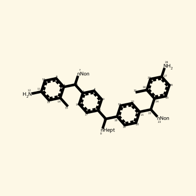 CCCC[CH]CCC(c1ccc(C(CCCCCCCCC)c2ccc(N)cc2C)cc1)c1ccc(C(CCCCCCCCC)c2ccc(N)cc2C)cc1